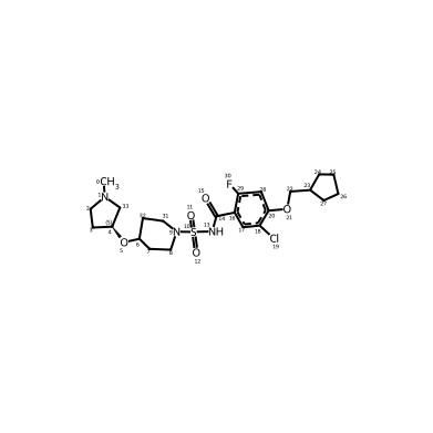 CN1CC[C@H](OC2CCN(S(=O)(=O)NC(=O)c3cc(Cl)c(OCC4CCCC4)cc3F)CC2)C1